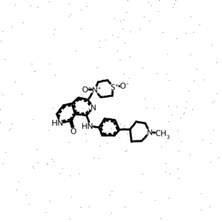 CN1CCC(c2ccc(Nc3nc([N+]4([O-])CC[S+]([O-])CC4)cc4cc[nH]c(=O)c34)cc2)CC1